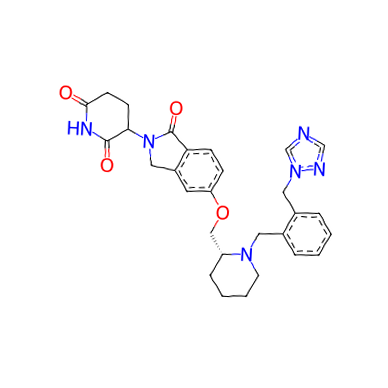 O=C1CCC(N2Cc3cc(OC[C@H]4CCCCN4Cc4ccccc4Cn4cncn4)ccc3C2=O)C(=O)N1